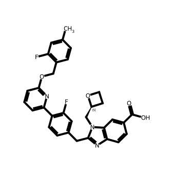 Cc1ccc(COc2cccc(-c3ccc(Cc4nc5ccc(C(=O)O)cc5n4C[C@@H]4CCO4)cc3F)n2)c(F)c1